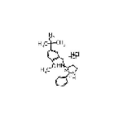 COc1ccc(C(C)(C)C)cc1CN[C@H]1CCN[C@H]1c1ccccc1.Cl.Cl